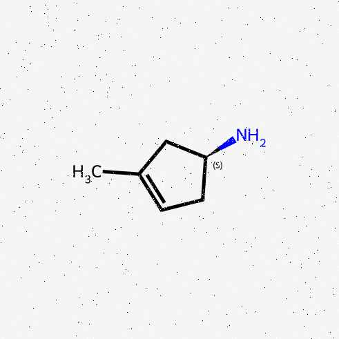 CC1=CC[C@H](N)C1